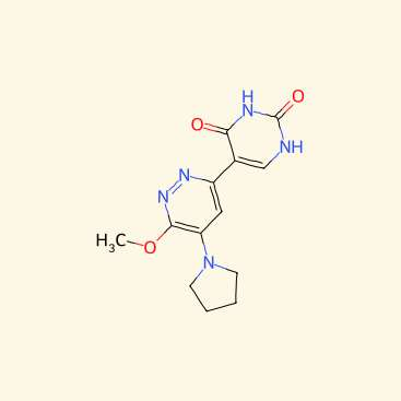 COc1nnc(-c2c[nH]c(=O)[nH]c2=O)cc1N1CCCC1